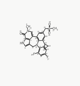 Cn1cc2c3c(c[nH]c3c1=O)CN(c1ccc(F)cc1F)c1c-2cc(CS(C)(=O)=O)cc1C1CC1